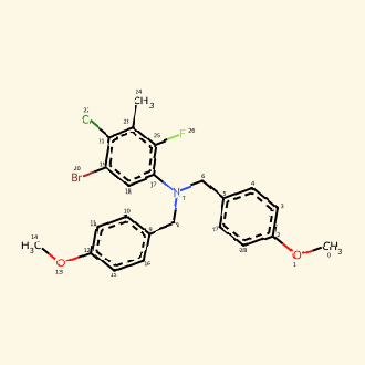 COc1ccc(CN(Cc2ccc(OC)cc2)c2cc(Br)c(Cl)c(C)c2F)cc1